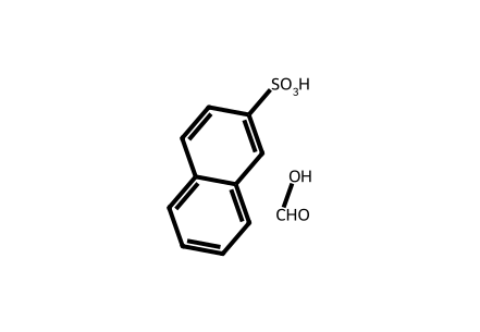 O=CO.O=S(=O)(O)c1ccc2ccccc2c1